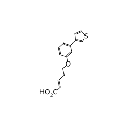 O=C(O)/C=C/CCOc1cccc(-c2ccsc2)c1